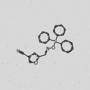 N#Cc1coc(/C=N/O[Si](c2ccccc2)(c2ccccc2)c2ccccc2)c1